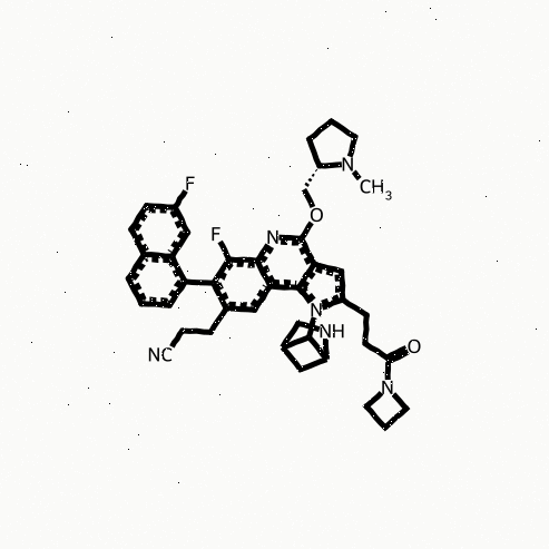 CN1CCC[C@H]1COc1nc2c(F)c(-c3cccc4ccc(F)cc34)c(CCC#N)cc2c2c1cc(CCC(=O)N1CCC1)n2C1C2CNC1C2